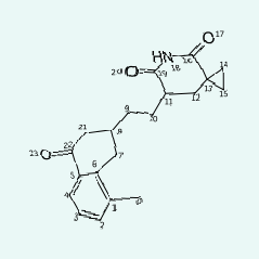 Cc1cccc2c1CC(CCC1CC3(CC3)C(=O)NC1=O)CC2=O